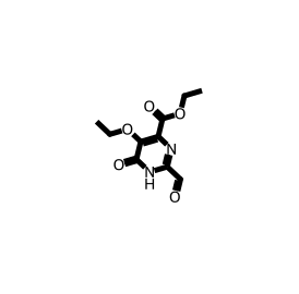 CCOC(=O)c1nc(C=O)[nH]c(=O)c1OCC